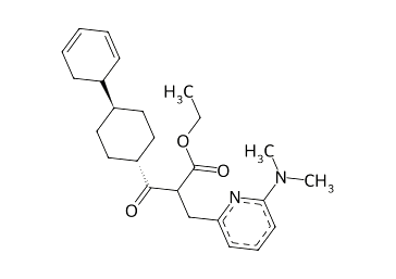 CCOC(=O)C(Cc1cccc(N(C)C)n1)C(=O)[C@H]1CC[C@H](C2C=CC=CC2)CC1